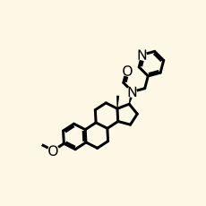 COc1ccc2c(c1)CCC1C2CC[C@@]2(C)C1CC[C@@H]2N(C=O)Cc1cccnc1